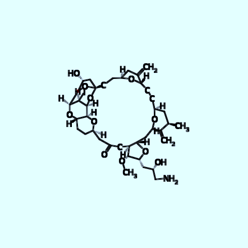 C=C1C[C@@H]2CC[C@]34C[C@@H](O)C(O3)[C@@H]3O[C@H]5CC[C@H](CC(=O)C[C@@H]6[C@@H](OC)[C@@H](C[C@H](O)CN)O[C@H]6C[C@H]6O[C@@H](CC[C@@H]1O2)C[C@@H](C)C6=C)O[C@@H]5[C@H](O4)[C@@H]3I